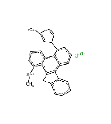 CCCCC1=CC(c2cccc3c4c(c5[c]([Zr+2][CH3])cccc5c23)Cc2ccccc2-4)C=C1.[Cl-].[Cl-]